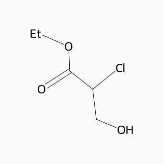 CCOC(=O)C(Cl)CO